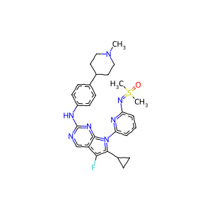 CN1CCC(c2ccc(Nc3ncc4c(F)c(C5CC5)n(-c5cccc(N=S(C)(C)=O)n5)c4n3)cc2)CC1